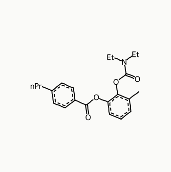 CCCc1ccc(C(=O)Oc2cccc(C)c2OC(=O)N(CC)CC)cc1